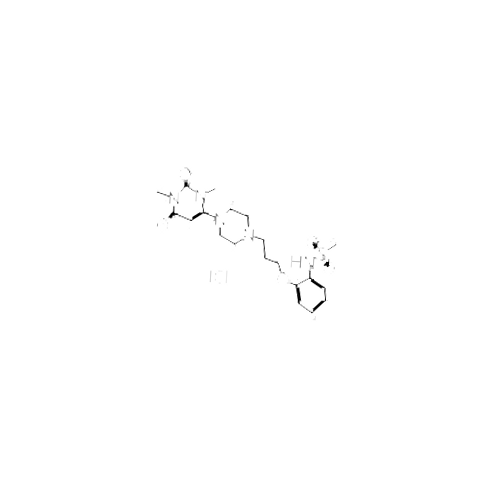 Cl.Cn1c(N2CCN(CCCOc3ccccc3NS(C)(=O)=O)CC2)cc(=O)n(C)c1=O